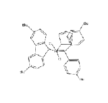 CC(C)(C)c1ccc([C](c2ccc(C(C)(C)C)cc2)=[Hf]([Cl])([Cl])([CH]2C=CC=C2)[CH]2c3ccc(C(C)(C)C)cc3-c3cc(C(C)(C)C)ccc32)cc1